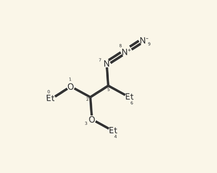 CCOC(OCC)C(CC)N=[N+]=[N-]